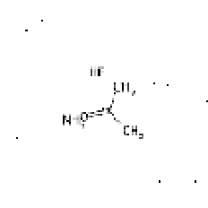 CC(C)=O.F.N